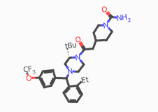 CCc1ccccc1C(c1ccc(OC(F)(F)F)cc1)N1CCN(C(=O)CC2CCN(C(N)=O)CC2)[C@@H](C(C)(C)C)C1